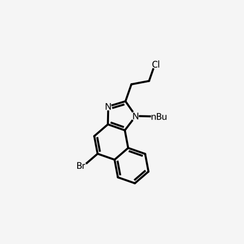 CCCCn1c(CCCl)nc2cc(Br)c3ccccc3c21